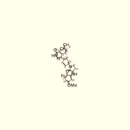 C=C/C=C\c1c(-c2ccc(N3CCC(Nc4cc(F)cc(OC)c4)C3=O)cc2)n[nH]c(=O)c1C